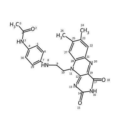 CC(=O)Nc1ccc(NCCn2c3nc(=O)[nH]c(=O)c-3nc3cc(C)c(C)cc32)cc1